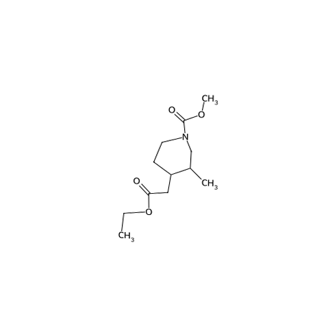 CCOC(=O)CC1CCN(C(=O)OC)CC1C